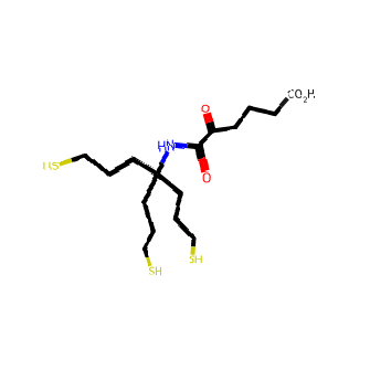 O=C(O)CCCC(=O)C(=O)NC(CCCS)(CCCS)CCCS